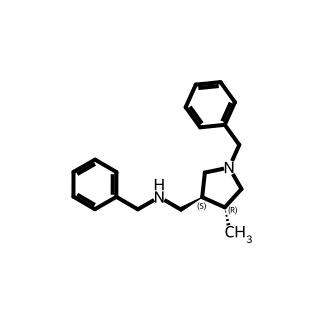 C[C@H]1CN(Cc2ccccc2)C[C@@H]1CNCc1ccccc1